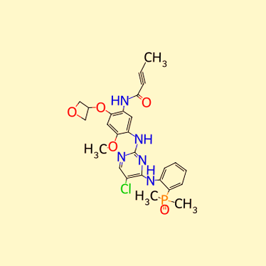 CC#CC(=O)Nc1cc(Nc2ncc(Cl)c(Nc3ccccc3P(C)(C)=O)n2)c(OC)cc1OC1COC1